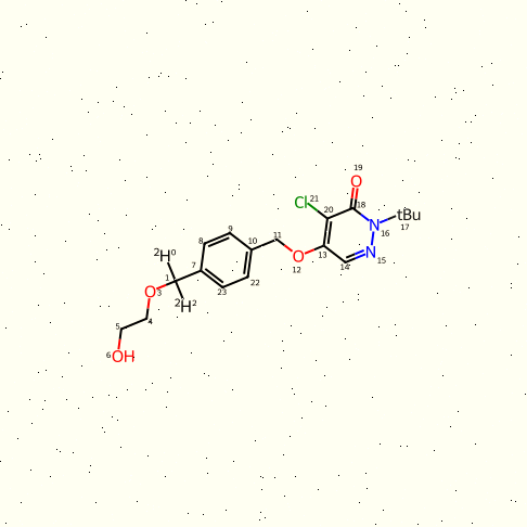 [2H]C([2H])(OCCO)c1ccc(COc2cnn(C(C)(C)C)c(=O)c2Cl)cc1